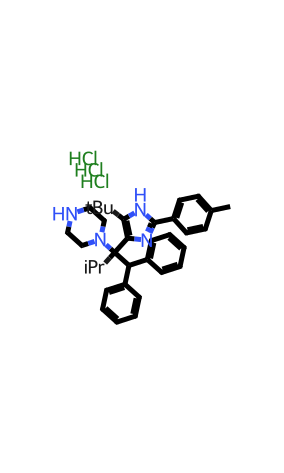 Cc1ccc(-c2nc(C(C(C)C)(C(c3ccccc3)c3ccccc3)N3CCNCC3)c(C(C)(C)C)[nH]2)cc1.Cl.Cl.Cl